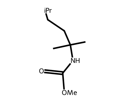 COC(=O)NC(C)(C)CCC(C)C